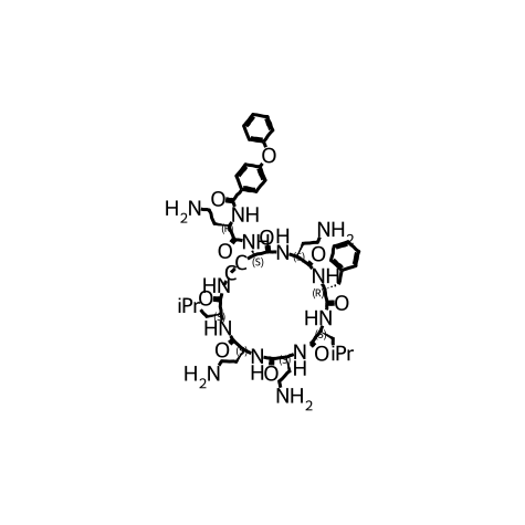 CC(C)C[C@@H]1NC(=O)[C@H](CCN)NC(=O)[C@H](CCN)NC(=O)[C@H](CC(C)C)NC(=O)[C@@H](Cc2ccccc2)NC(=O)[C@H](CCN)NC(=O)[C@@H](NC(=O)[C@@H](CCN)NC(=O)c2ccc(Oc3ccccc3)cc2)CCNC1=O